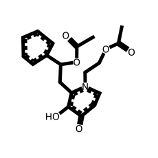 CC(=O)OCCn1ccc(=O)c(O)c1CC(OC(C)=O)c1ccccc1